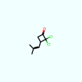 CC(C)=CC1CC(=O)C1(Cl)Cl